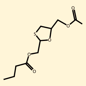 CCCC(=O)OCC1OC(COC(C)=O)CS1